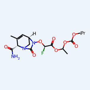 CC1=C[C@@H]2CN(C(=O)N2O[C@H](F)C(=O)OC(C)OC(=O)OC(C)C)[C@@H]1C(N)=O